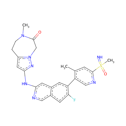 Cc1cc(S(C)(=N)=O)ncc1-c1cc2cc(Nc3cc4n(n3)CC(=O)N(C)CC4)ncc2cc1F